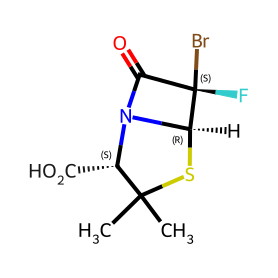 CC1(C)S[C@H]2N(C(=O)[C@]2(F)Br)[C@H]1C(=O)O